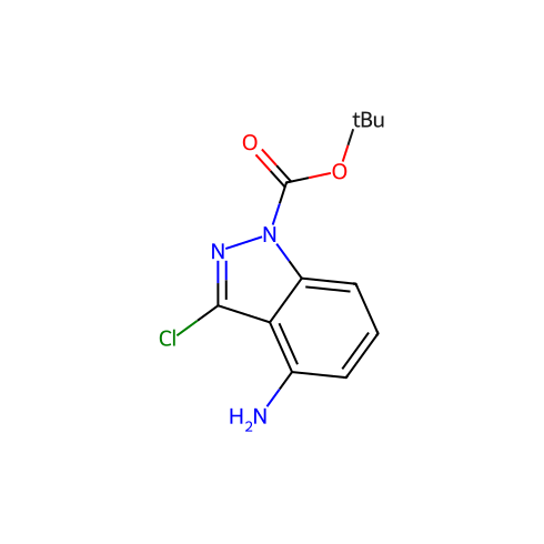 CC(C)(C)OC(=O)n1nc(Cl)c2c(N)cccc21